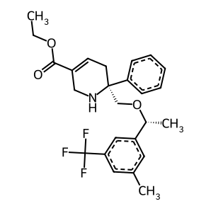 CCOC(=O)C1=CC[C@@](CO[C@H](C)c2cc(C)cc(C(F)(F)F)c2)(c2ccccc2)NC1